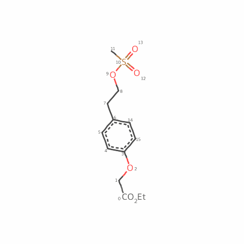 CCOC(=O)COc1ccc(CCOS(C)(=O)=O)cc1